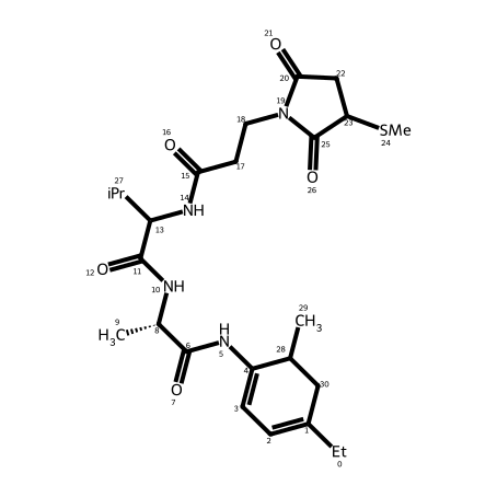 CCC1=CC=C(NC(=O)[C@H](C)NC(=O)C(NC(=O)CCN2C(=O)CC(SC)C2=O)C(C)C)C(C)C1